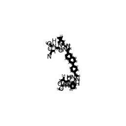 COC(=O)N[C@@H](CCC#N)C(=O)N1CC2(CC2)C[C@H]1c1ncc(-c2ccc3cc(-c4ccc(-c5cnc([C@@H]6[C@H]7CC[C@H](C7)N6C(=O)[C@@H](NC(=O)OC)C(C)C)[nH]5)cc4)ccc3c2)[nH]1